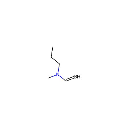 B=CN(C)CCC